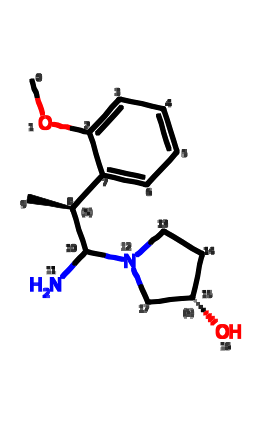 COc1ccccc1[C@H](C)C(N)N1CC[C@H](O)C1